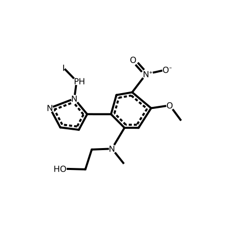 COc1cc(N(C)CCO)c(-c2ccnn2PI)cc1[N+](=O)[O-]